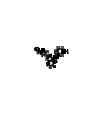 COCn1cc(-c2cc3ncccc3c(NC[C@]3(F)CCCNC3)n2)cn1